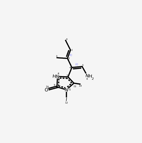 C/C=C(C)/C(=C/N)c1[nH]c(=O)n(I)c1C